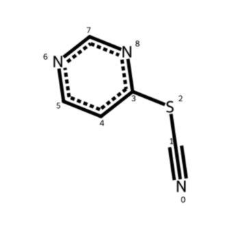 N#CSc1ccncn1